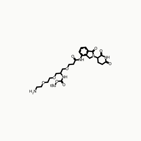 CC(C)(C)OC(=O)NC(COCCOCCN)COCCC(=O)Nc1cccc2c1CN(C1CCC(=O)NC1=O)C2=O